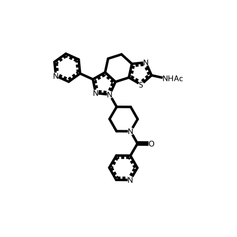 CC(=O)Nc1nc2c(s1)-c1c(c(-c3cccnc3)nn1C1CCN(C(=O)c3cccnc3)CC1)CC2